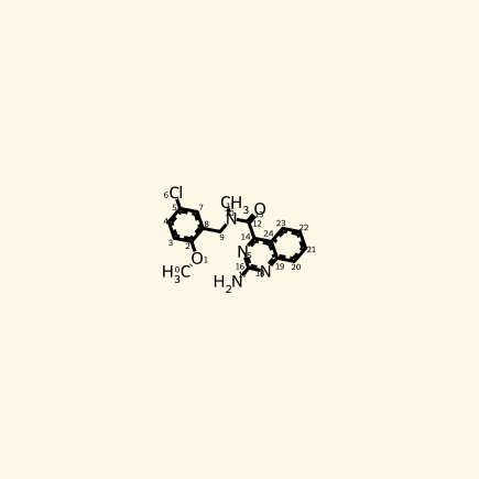 COc1ccc(Cl)cc1CN(C)C(=O)c1nc(N)nc2ccccc12